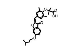 Cc1cc(C=C2Oc3cc(OCCC(C)C)ccc3C2=O)cc(C)c1OC(C)(C)C(=O)O